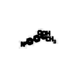 CCC=C(C(=O)O)[C@H]1CC[C@H](c2ccc(C#N)cc2)CC1